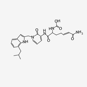 CC(C)Cc1cccc2cc(Cn3cccc(NC(=O)C(CCC=CC(N)=O)NC(=O)O)c3=O)[nH]c12